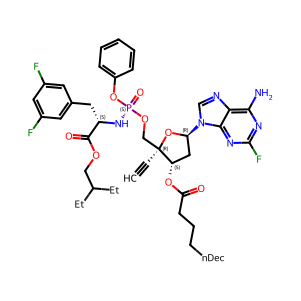 C#C[C@]1(CO[P@@](=O)(N[C@@H](Cc2cc(F)cc(F)c2)C(=O)OCC(CC)CC)Oc2ccccc2)O[C@@H](n2cnc3c(N)nc(F)nc32)C[C@@H]1OC(=O)CCCCCCCCCCCCC